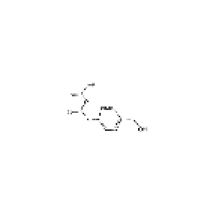 CCC(Cc1ccc(CO)cc1)OC(=O)C(C)(C)C